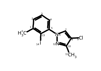 Cc1cccc(-n2cc(Cl)c(C)n2)c1I